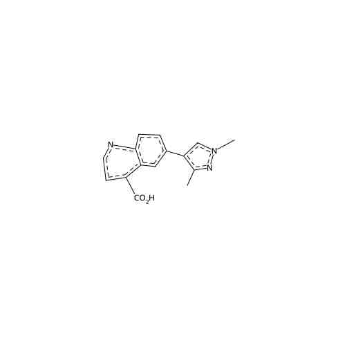 Cc1nn(C)cc1-c1ccc2nccc(C(=O)O)c2c1